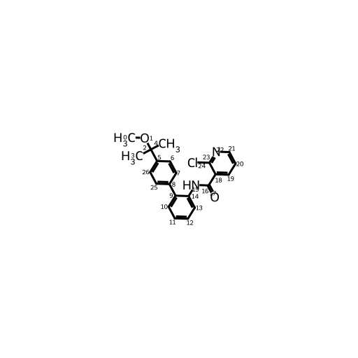 COC(C)(C)c1ccc(-c2ccccc2NC(=O)c2cccnc2Cl)cc1